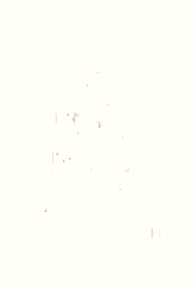 COCCCc1cc(NC2CCOCC2)c2[nH]c(-c3ccccc3)cc2c1